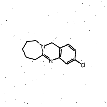 Clc1ccc2c(c1)N=C1CCCCCN1C2